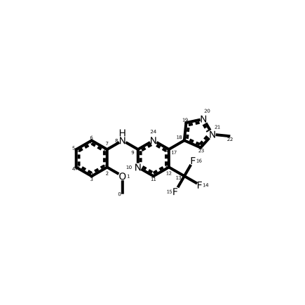 COc1c[c]ccc1Nc1ncc(C(F)(F)F)c(-c2cnn(C)c2)n1